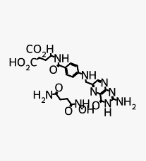 NC(=O)CCC(=O)NO.Nc1nc2ncc(CNc3ccc(C(=O)NC(CCC(=O)O)C(=O)O)cc3)nc2c(=O)[nH]1